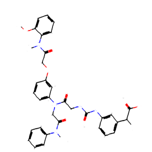 COc1ccccc1N(C)C(=O)COc1cccc(N(CC(=O)N(C)c2ccccc2)C(=O)CNC(=O)Nc2cccc(C(C)C(=O)O)c2)c1